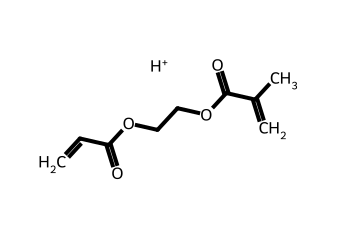 C=CC(=O)OCCOC(=O)C(=C)C.[H+]